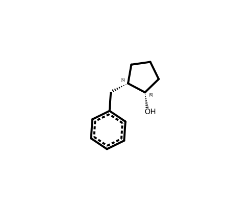 O[C@H]1CCC[C@H]1Cc1ccccc1